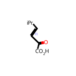 CC(C)/C=C/C(=O)C(=O)O